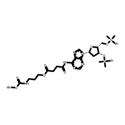 CC(C)[Si](C)(C)OC[C@H]1O[C@@H](n2cnc3c(NC(=O)CCC(=O)OCCCNC(=O)OC(C)(C)C)ncnc32)C[C@H]1O[Si](C)(C)C(C)C